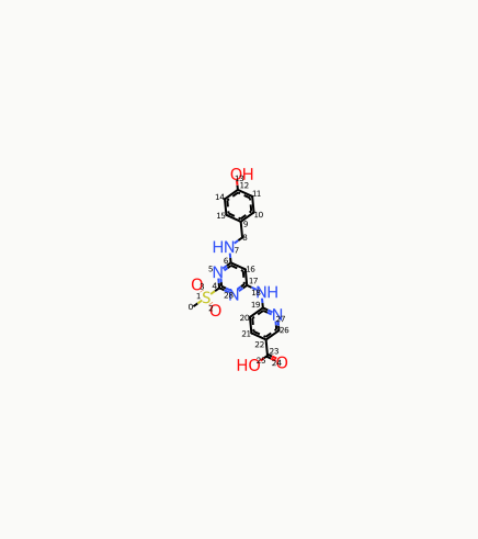 CS(=O)(=O)c1nc(NCc2ccc(O)cc2)cc(Nc2ccc(C(=O)O)cn2)n1